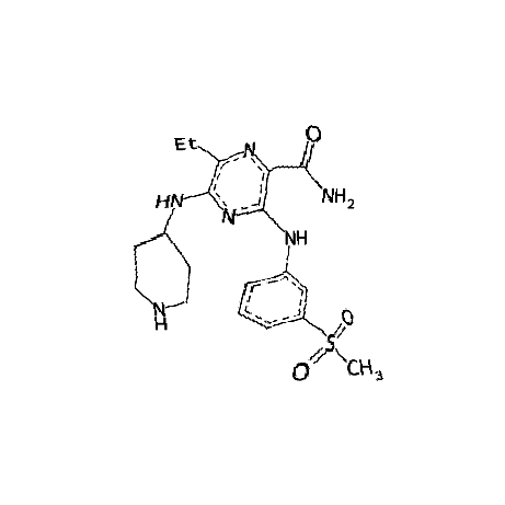 CCc1nc(C(N)=O)c(Nc2cccc(S(C)(=O)=O)c2)nc1NC1CCNCC1